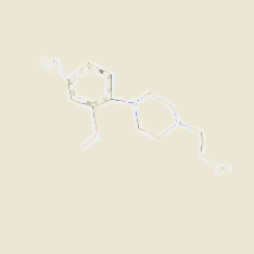 COc1cc(N)ccc1N1CCN(CCO)CC1